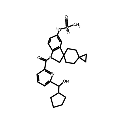 CS(=O)(=O)Nc1ccc2c(c1)C1(CCC3(CC3)CC1)CN2C(=O)c1cccc(C(O)C2CCCC2)n1